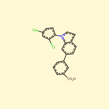 O=C(O)c1cccc(-c2ccc3ccn(-c4ccc(Cl)cc4Cl)c3c2)c1